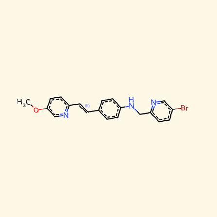 COc1ccc(/C=C/c2ccc(NCc3ccc(Br)cn3)cc2)nc1